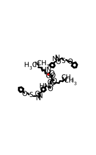 CN(C)CCCCCN(OC(=O)C(=O)ON(CCCCCN(C)C)C(=O)Nc1ccc(-c2nnc(CSCCOc3ccccc3)o2)cc1)C(=O)Nc1ccc(-c2nnc(CSCCOc3ccccc3)o2)cc1